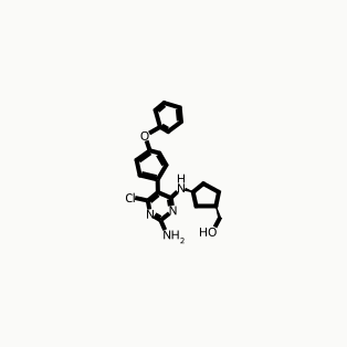 Nc1nc(Cl)c(-c2ccc(Oc3ccccc3)cc2)c(N[C@H]2CC[C@@H](CO)C2)n1